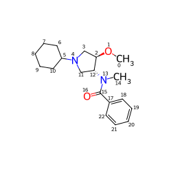 CO[C@@H]1CN(C2CCCCC2)C[C@H]1N(C)C(=O)c1ccccc1